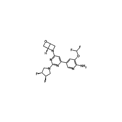 Nc1ncc(-c2cc(N3CC4OC[C@H]43)nc(N3C[C@@H](F)[C@@H](F)C3)n2)cc1OC(F)F